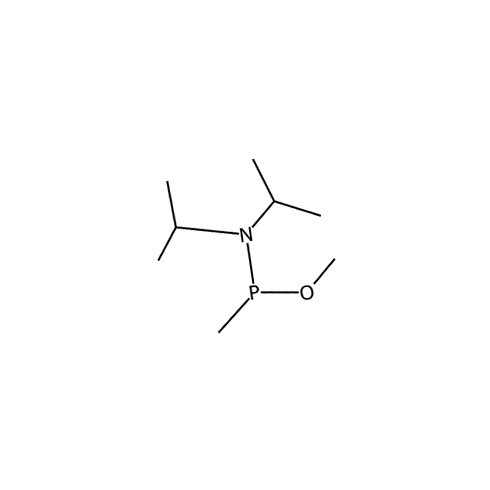 COP(C)N(C(C)C)C(C)C